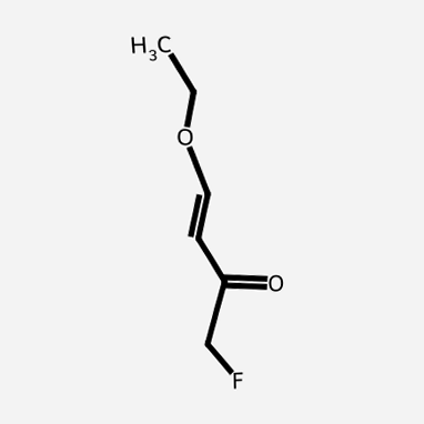 CCO/C=C/C(=O)CF